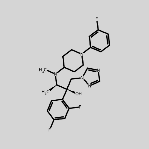 C[C@@H](N(C)C1CCN(c2cccc(F)c2)CC1)[C@](O)(Cn1cncn1)c1ccc(F)cc1F